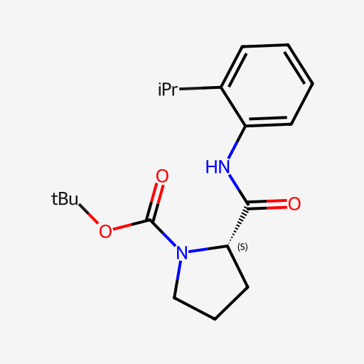 CC(C)c1ccccc1NC(=O)[C@@H]1CCCN1C(=O)OC(C)(C)C